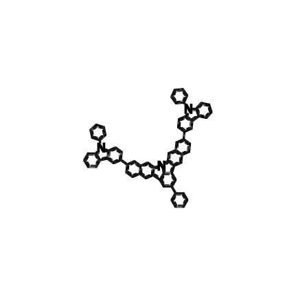 c1ccc(-c2cc3c4cc5ccc(-c6ccc7c(c6)c6ccccc6n7-c6ccccc6)cc5cc4n4c5cc6cc(-c7ccc8c(c7)c7ccccc7n8-c7ccccc7)ccc6cc5c(c2)c34)cc1